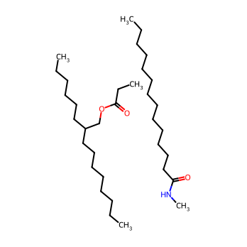 CCCCCCCCC(CCCCCC)COC(=O)CC.CCCCCCCCCCCCCC(=O)NC